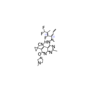 C=C/C=C(\C(F)=C(/C)C(F)F)[C@@H](C)Nc1nc(C)nc2nc(O[C@@H]3CCN(C)C3)c(C3(C#N)CC3)cc12